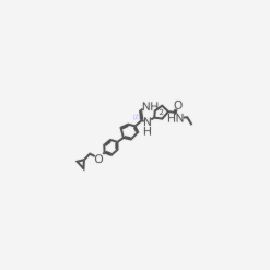 CCNC(=O)C1CCC(N/C(=C\N)c2ccc(-c3ccc(OCC4CC4)cc3)cc2)C1